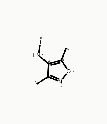 Cc1noc(C)c1NI